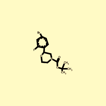 CC(C)(C)OC(=O)N1CCOC(c2ccc(Br)cc2F)C1